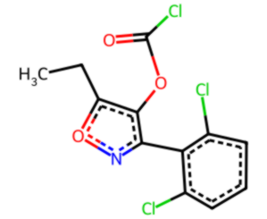 CCc1onc(-c2c(Cl)cccc2Cl)c1OC(=O)Cl